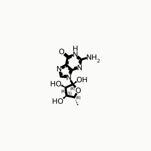 C[C@H]1O[C@@](O)(n2cnc3c(=O)[nH]c(N)nc32)[C@H](O)[C@@H]1O